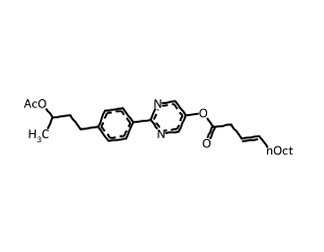 CCCCCCCCC=CCC(=O)Oc1cnc(-c2ccc(CCC(C)OC(C)=O)cc2)nc1